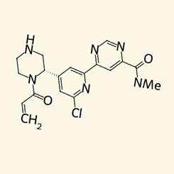 C=CC(=O)N1CCNC[C@@H]1c1cc(Cl)nc(-c2cc(C(=O)NC)ncn2)c1